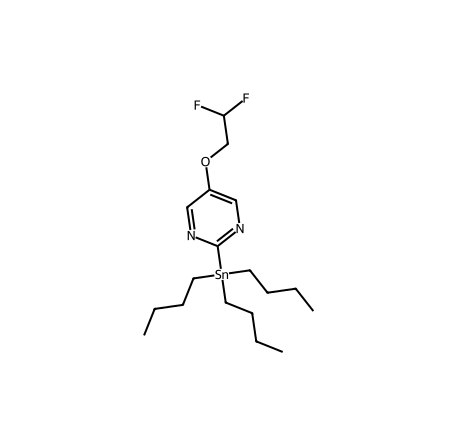 CCC[CH2][Sn]([CH2]CCC)([CH2]CCC)[c]1ncc(OCC(F)F)cn1